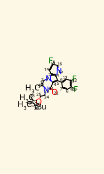 C[C@H]1Cn2c(c(-c3ccc(F)c(F)c3)c3ncc(F)cc32)C(=O)N1CCO[Si](C)(C)C(C)(C)C